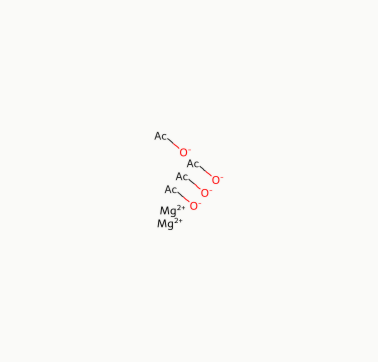 CC(=O)[O-].CC(=O)[O-].CC(=O)[O-].CC(=O)[O-].[Mg+2].[Mg+2]